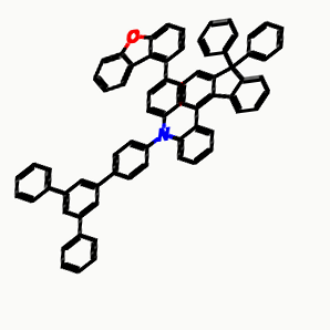 c1ccc(-c2cc(-c3ccccc3)cc(-c3ccc(N(c4ccc(-c5cccc6oc7ccccc7c56)cc4)c4ccccc4-c4cccc5c4-c4ccccc4C5(c4ccccc4)c4ccccc4)cc3)c2)cc1